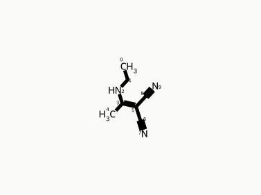 CCNC(C)=C(C#N)C#N